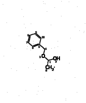 [CH2]C(O)OCc1ccccc1